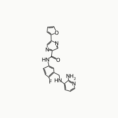 Nc1ncccc1NCc1cc(NC(=O)c2cnc(-c3ccco3)cn2)ccc1F